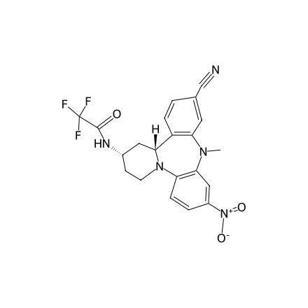 CN1c2cc(C#N)ccc2[C@H]2C[C@@H](NC(=O)C(F)(F)F)CCN2c2ccc([N+](=O)[O-])cc21